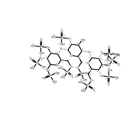 O=P(O)(O)OC[C@H]1O[C@H](O[C@H]2[C@H](OP(=O)(O)O)[C@@H](OP(=O)(O)O)C(OP(=O)(O)O)O[C@@H]2COP(=O)(O)O)[C@H](OP(=O)(O)O)[C@@H](O)[C@@H]1O[C@H]1O[C@H](COP(=O)(O)O)[C@@H](OP(=O)(O)O)[C@H](OP(=O)(O)O)[C@H]1OP(=O)(O)O